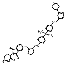 CC(C)(c1ccc(OCc2ccnc(N3CCOCC3)n2)cc1)c1ccc(OC[C@H]2CCCN2Cc2ccc3c(c2)C(=O)N(C2CCC(=O)NC2=O)C3=O)cc1